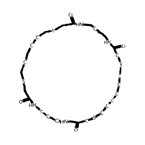 O=C1CSCCCCCCSCC(=O)NCCCNC(=O)CSCCCCCCSCC(=O)NCCCN1